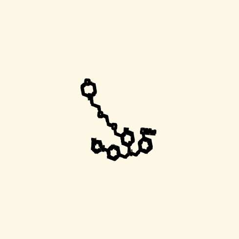 COc1cccc(CN(Cc2ccc(-n3ccnc3)cc2)c2ccnc(COCCOCCN3CCOCC3)c2)c1